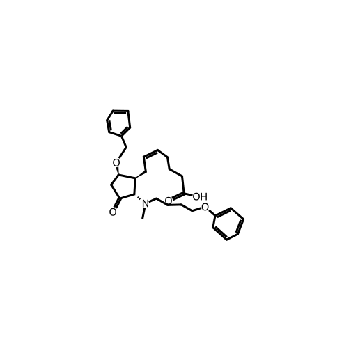 CN(CCCCOc1ccccc1)[C@@H]1C(=O)C[C@@H](OCc2ccccc2)[C@H]1C/C=C\CCCC(=O)O